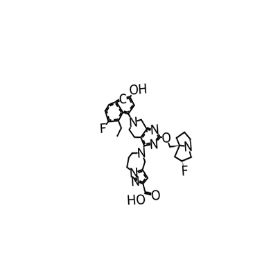 CCc1c(F)ccc2cc(O)cc(N3CCc4c(nc(OC[C@@]56CCCN5C[C@H](F)C6)nc4N4CCCn5nc(C(=O)O)cc5C4)C3)c12